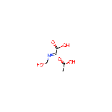 CC(=O)O.O=C(O)C=NCO